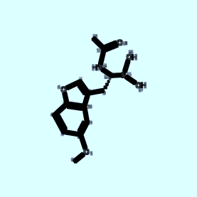 COc1ccc2occ(C[C@H](NC(C)=O)B(O)O)c2c1